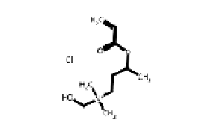 C=CC(=O)OC(C)CC[N+](C)(C)CO.[Cl-]